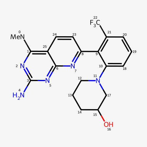 CNc1nc(N)nc2nc(-c3c(N4CCCC(O)C4)cccc3C(F)(F)F)ccc12